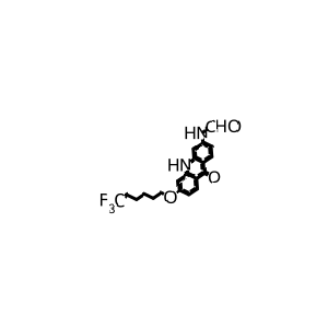 O=CNc1ccc2c(=O)c3ccc(OCCCCCC(F)(F)F)cc3[nH]c2c1